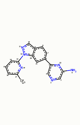 Nc1cncc(-c2ccc3cnn(-c4cccc(C(F)(F)F)n4)c3c2)n1